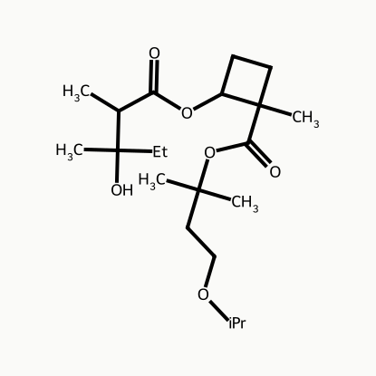 CCC(C)(O)C(C)C(=O)OC1CCC1(C)C(=O)OC(C)(C)CCOC(C)C